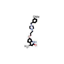 COc1cccc(CN2CCN(CCCOc3ccc4c(C)cc(=O)[nH]c4c3)CC2)c1